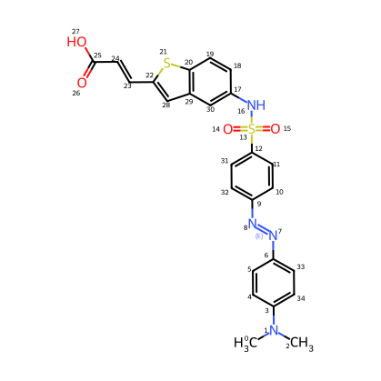 CN(C)c1ccc(/N=N/c2ccc(S(=O)(=O)Nc3ccc4sc(C=CC(=O)O)cc4c3)cc2)cc1